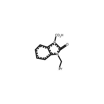 CC(C)Cn1c(=O)n(C(=O)O)c2ccccc21